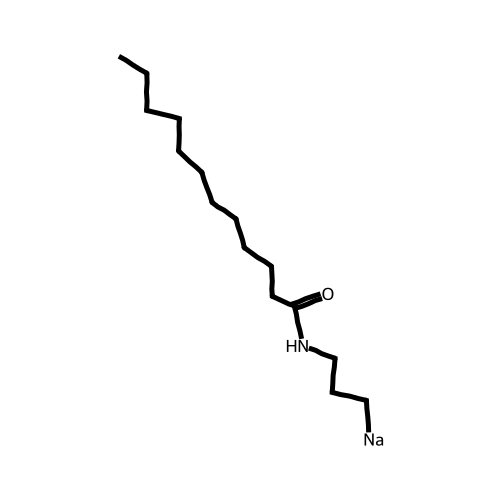 CCCCCCCCCCCC(=O)NCC[CH2][Na]